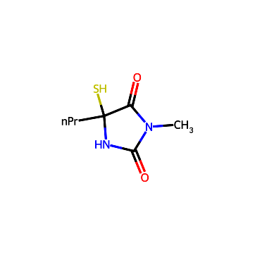 CCCC1(S)NC(=O)N(C)C1=O